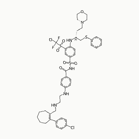 O=C(NS(=O)(=O)c1ccc(N[C@H](CCN2CCOCC2)CSc2ccccc2)c(S(=O)(=O)C(F)(F)Cl)c1)c1ccc(NCCNCC2=C(c3ccc(Cl)cc3)CCCCC2)cc1